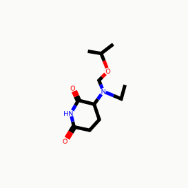 CCN(COC(C)C)C1CCC(=O)NC1=O